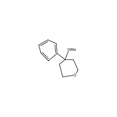 COC1(c2ccccc2)CCOCC1